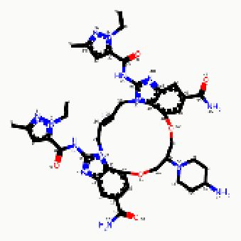 CCn1nc(C)cc1C(=O)Nc1nc2cc(C(N)=O)cc3c2n1C/C=C/Cn1c(NC(=O)c2cc(C)nn2CC)nc2cc(C(N)=O)cc(c21)OCC(N1CCC(N)CC1)CO3